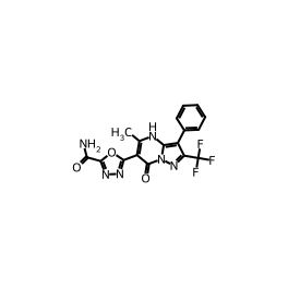 Cc1[nH]c2c(-c3ccccc3)c(C(F)(F)F)nn2c(=O)c1-c1nnc(C(N)=O)o1